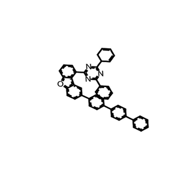 C1=CCC(c2nc(-c3ccccc3)nc(-c3cccc4oc5ccc(-c6ccc(-c7ccc(-c8ccccc8)cc7)cc6)cc5c34)n2)C=C1